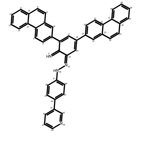 N=C1C(c2ccc3c(ccc4ccccc43)c2)=CC(c2ccc3c(ccc4ccccc43)c2)=C/C1=N/Nc1ccc(-c2cccnc2)cc1